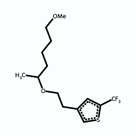 COCCCCC(C)OCCc1csc(C(F)(F)F)c1